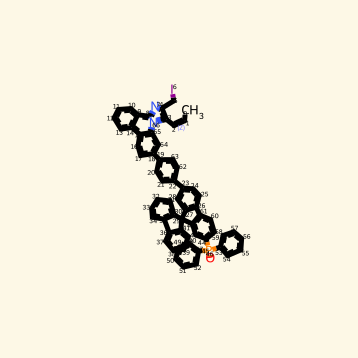 C/C=C\c1c(CI)nc2c3ccccc3c3ccc(-c4ccc(-c5ccc6c(c5)C5(c7ccccc7-c7ccccc75)c5cc(P(=O)(c7ccccc7)c7ccccc7)ccc5-6)cc4)cc3n12